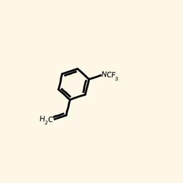 C=Cc1cccc(NC(F)(F)F)c1